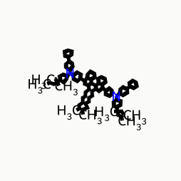 CCCCCCCCc1cc(-c2ccc(N(c3ccc(-c4ccccc4)cc3)c3ccc(C(C)(CC)CCC)cc3)cc2)c2ccccc2c1-c1c(CCCCCCCC)cc(-c2ccc(N(c3ccc(-c4ccccc4)cc3)c3ccc(C(C)(CCC)CCC)cc3)cc2)c2ccccc12